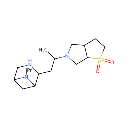 CC(CC1NCC2CC1N2C(C)C)N1CC2CCS(=O)(=O)C2C1